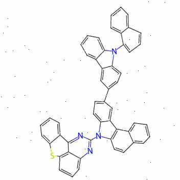 c1ccc2c(c1)Sc1cccc3nc(-n4c5ccc(-c6ccc7c(c6)c6ccccc6n7-c6cccc7ccccc67)cc5c5c6ccccc6ccc54)nc-2c13